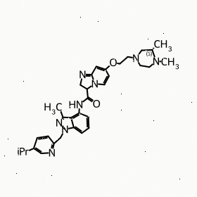 Cc1nn(Cc2ccc(C(C)C)cn2)c2cccc(NC(=O)C3CN=C4C=C(OCCN5CCN(C)[C@@H](C)C5)C=CN43)c12